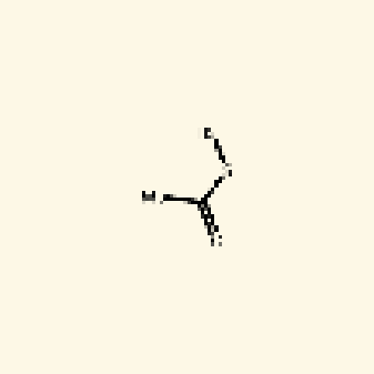 O=[C]([Mo])SS